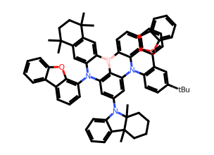 CC(C)(C)c1ccc(N2c3cc(N4c5ccccc5C5(C)CCCCC45C)cc4c3B(c3cc5c(cc3N4c3cccc4c3oc3ccccc34)C(C)(C)CCC5(C)C)c3ccc4c(oc5ccccc54)c32)c(-c2ccccc2)c1